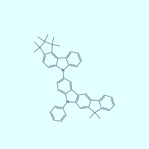 CC1(C)c2ccccc2-c2cc3c4cc(-n5c6ccccc6c6c7c(ccc65)C(C)(C)C(C)(C)C7(C)C)ccc4n(-c4ccccc4)c3cc21